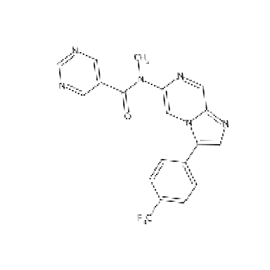 CN(C(=O)c1cncnc1)c1cn2c(-c3ccc(C(F)(F)F)cc3)cnc2cn1